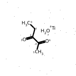 CCC(=O)C(C)=O.O.[Ti]